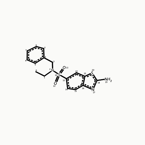 CCN(Cc1ccccc1)S(=O)(=O)c1ccc2nc(N)sc2c1